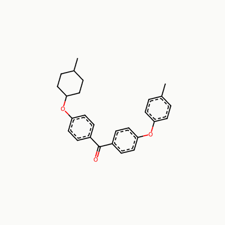 Cc1ccc(Oc2ccc(C(=O)c3ccc(OC4CCC(C)CC4)cc3)cc2)cc1